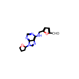 O=Cc1ccc(CNc2ncnc3c2ncn3C2CCCO2)o1